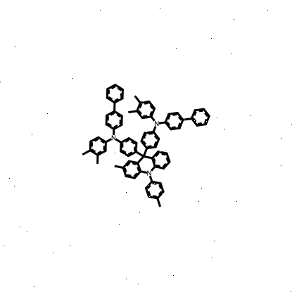 Cc1ccc(N2c3ccccc3C(c3ccc(N(c4ccc(-c5ccccc5)cc4)c4ccc(C)c(C)c4)cc3)(c3ccc(N(c4ccc(-c5ccccc5)cc4)c4ccc(C)c(C)c4)cc3)c3cc(C)ccc32)cc1